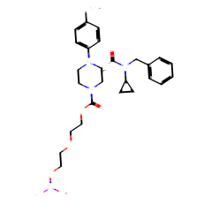 COc1ccc(N2CCN(C(=O)OCCOCCON(O)O)C[C@@H]2C(=O)N(Cc2ccccc2)C2CC2)cc1